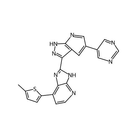 Cc1ccc(-c2ccnc3[nH]c(-c4n[nH]c5ncc(-c6cncnc6)cc45)nc23)s1